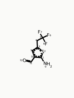 Nc1sc(CC(F)(F)F)cc1C=O